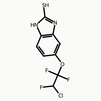 FC(Cl)C(F)(F)Oc1ccc2[nH]c(S)nc2c1